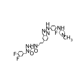 CN1CCC(Nc2ccc(Nc3ncc4cc(C=CCNC(=O)c5cncn(Cc6ccc(F)c(F)c6)c5=O)ccc4n3)cc2F)CC1